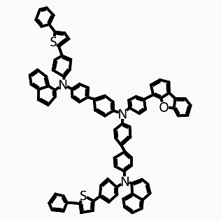 c1ccc(-c2ccc(-c3ccc(N(c4ccc(-c5ccc(N(c6ccc(-c7ccc(N(c8ccc(-c9ccc(-c%10ccccc%10)s9)cc8)c8cccc9ccccc89)cc7)cc6)c6ccc(-c7cccc8c7oc7ccccc78)cc6)cc5)cc4)c4cccc5ccccc45)cc3)s2)cc1